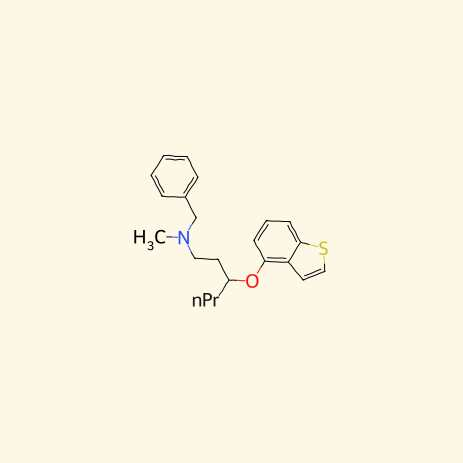 CCCC(CCN(C)Cc1ccccc1)Oc1cccc2sccc12